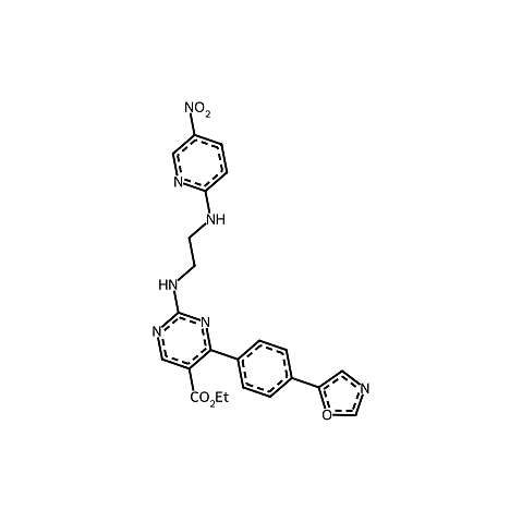 CCOC(=O)c1cnc(NCCNc2ccc([N+](=O)[O-])cn2)nc1-c1ccc(-c2cnco2)cc1